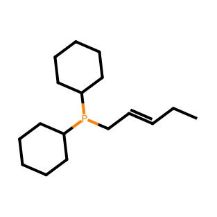 CCC=CCP(C1CCCCC1)C1CCCCC1